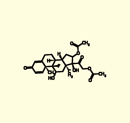 CC(=O)OCC(=O)[C@@]1(O)C(OC(C)=O)C[C@H]2[C@@H]3CCC4=CC(=O)C=C[C@]4(C)[C@@]3(F)C(O)C[C@@]21C